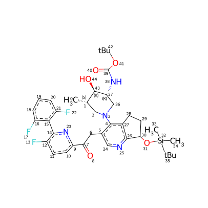 C[C@H]1CN(c2c(CC(=O)c3ccc(F)c(-c4c(F)cccc4F)n3)cnc3c2CCC3O[Si](C)(C)C(C)(C)C)C[C@@H](NC(=O)OC(C)(C)C)[C@@H]1O